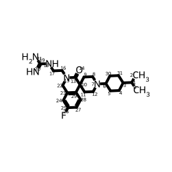 CC(C)C1CCC(N2CCC3(CC2)C(=O)N(CCNC(=N)N)Cc2cc(F)ccc23)CC1